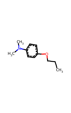 CCCOc1ccc(N(C)C)cc1